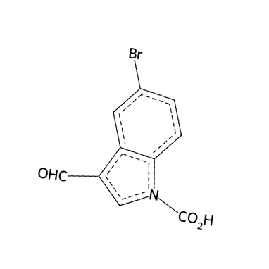 O=Cc1cn(C(=O)O)c2ccc(Br)cc12